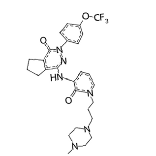 CN1CCN(CCCn2cccc(Nc3nn(-c4ccc(OC(F)(F)F)cc4)c(=O)c4c3CCC4)c2=O)CC1